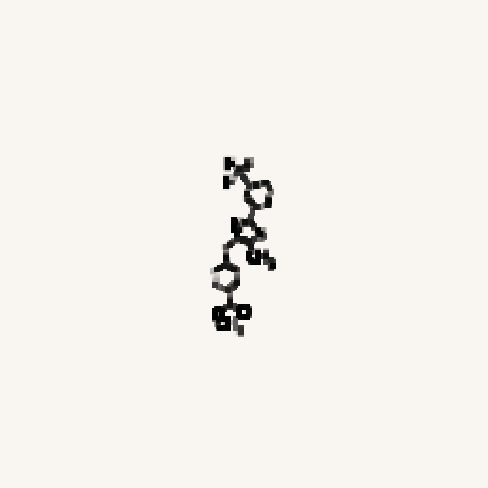 COC(=O)c1ccc(Cc2nc(-c3cccc(C(F)(F)F)c3)sc2C)cc1